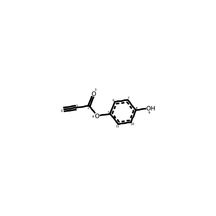 C#CC(=O)Oc1ccc(O)cc1